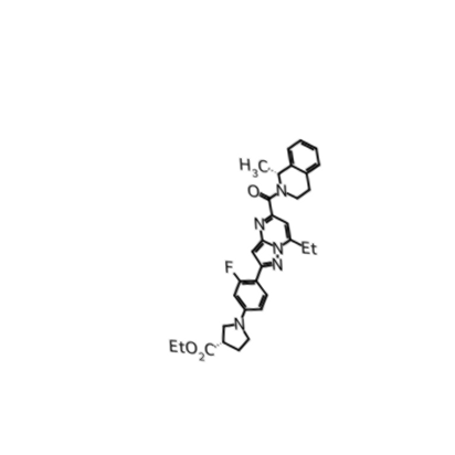 CCOC(=O)[C@H]1CCN(c2ccc(-c3cc4nc(C(=O)N5CCc6ccccc6[C@H]5C)cc(CC)n4n3)c(F)c2)C1